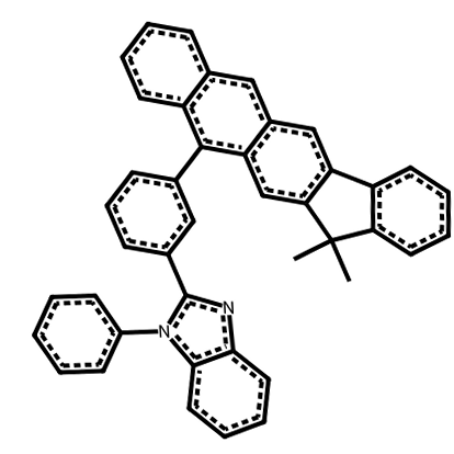 CC1(C)c2ccccc2-c2cc3cc4ccccc4c(-c4cccc(-c5nc6ccccc6n5-c5ccccc5)c4)c3cc21